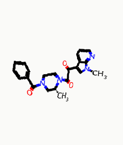 C[C@@H]1CN(C(=O)c2ccccc2)CCN1C(=O)C(=O)c1cn(C)c2ncccc12